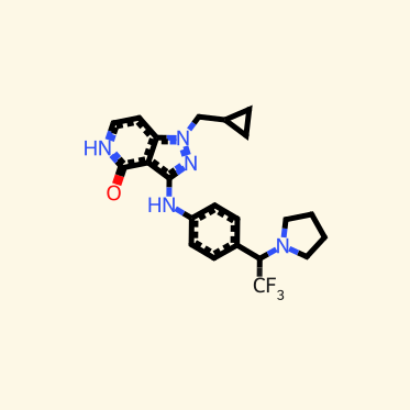 O=c1[nH]ccc2c1c(Nc1ccc(C(N3CCCC3)C(F)(F)F)cc1)nn2CC1CC1